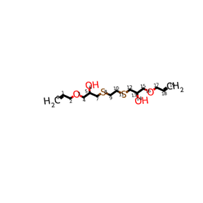 C=CCOCC(O)CSCCSCC(O)COCC=C